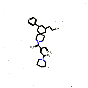 C=C(/C=C(\C=C/C)C(=C)N1CCC2(CC1)CC(CCC)CC(c1ccccc1)C2)N1CCCCC1